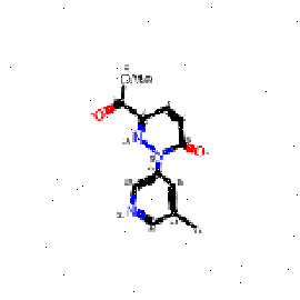 COC(=O)c1ccc(=O)n(-c2cncc(C)c2)n1